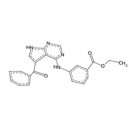 CCOC(=O)c1cccc(Nc2ncnc3[nH]cc(C(=O)c4ccccc4)c23)c1